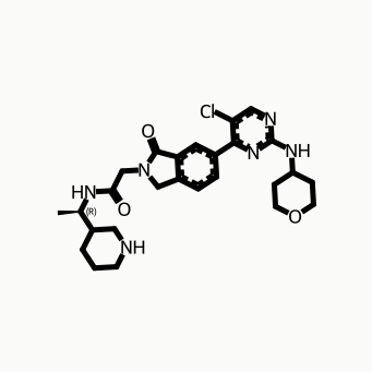 C[C@@H](NC(=O)CN1Cc2ccc(-c3nc(NC4CCOCC4)ncc3Cl)cc2C1=O)C1CCCNC1